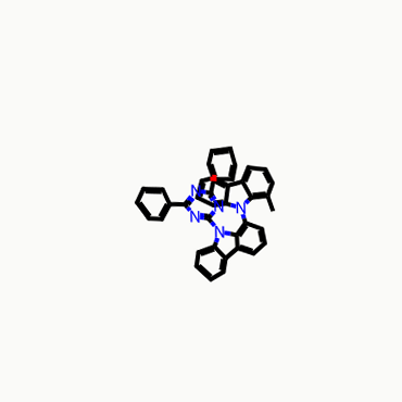 Cc1cccc2c3ccccc3n(-c3cccc4c5ccccc5n(-c5nc(-c6ccccc6)nc(-c6ccccc6)n5)c34)c12